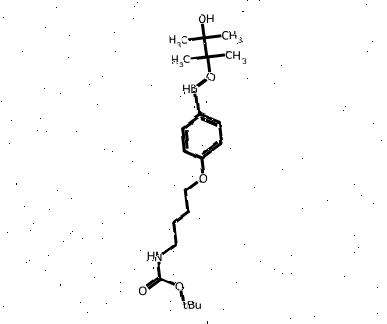 CC(C)(C)OC(=O)NCCCCOc1ccc(BOC(C)(C)C(C)(C)O)cc1